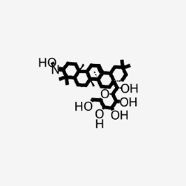 CC1(C)CC[C@]2([C@H](O)[C@H]3OC(CO)[C@H](O)C(O)C3O)CC[C@]3(C)C(=CCC4[C@@]5(C)CC/C(=N\O)C(C)(C)C5CC[C@]43C)C2C1